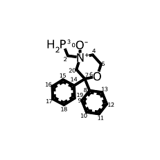 [O-][N+]1(CP)CCOC(c2ccccc2)(c2ccccc2)C1